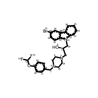 O[C@H](CN1CCN(Cc2ccc(OC(F)F)cc2)CC1)Cn1c2ccccc2c2cc(Br)ccc21